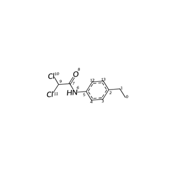 CCc1ccc(NC(=O)C(Cl)Cl)cc1